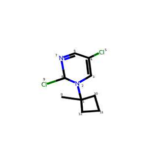 CC1(N2C=C(Cl)C=NC2Cl)CCC1